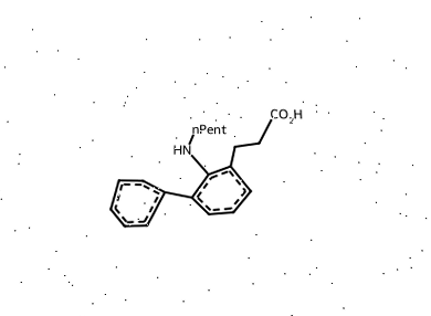 CCCCCNc1c(CCC(=O)O)cccc1-c1ccccc1